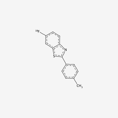 Cc1ccc(-c2nc3ccc([18F])cc3s2)cc1